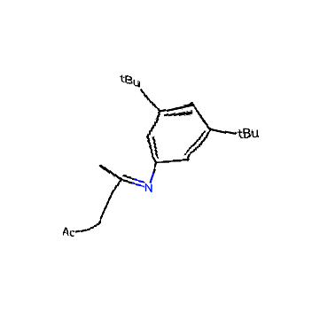 CC(=O)C/C(C)=N/c1cc(C(C)(C)C)cc(C(C)(C)C)c1